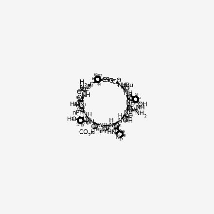 CCC[C@@H]1NC(=O)[C@H](Cc2ccc(O)cc2)NC(=O)[C@H](CCC(=O)O)NC(=O)[C@H](CC(C)C)NC(=O)[C@H](Cc2c[nH]c3ncccc23)NC(=O)[C@H]([C@@H](C)O)NC(=O)[C@H](CNC(=N)N)NC(=O)[C@H](Cc2ccc(O)cc2)NC(=O)[C@H](C(C)(C)C)NC(=O)CCSCc2cccc(c2)CSC[C@@H](C(N)=O)NC(=O)[C@H]([C@@H](C)O)NC1=O